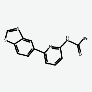 CC(C)C(=O)Nc1cccc(-c2ccc3scnc3c2)n1